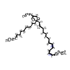 CCCCC/C=C\C/C=C\CCCCCCCCC1(CCCCCCCCCCCCCCCCCC)OCC(CCC)O1